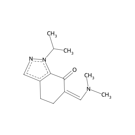 CC(C)n1ncc2c1C(=O)/C(=C\N(C)C)CC2